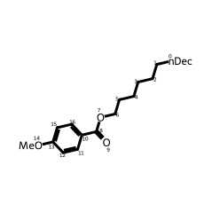 CCCCCCCCCCCCCCCCOC(=O)c1ccc(OC)cc1